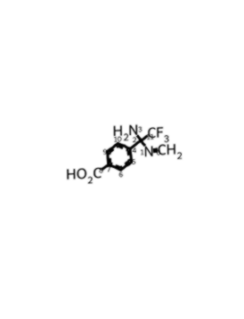 C=NC(N)(c1ccc(C(=O)O)cc1)C(F)(F)F